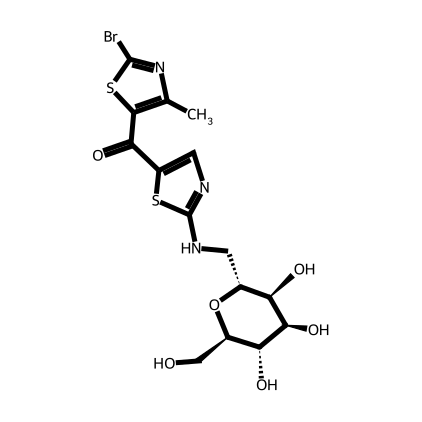 Cc1nc(Br)sc1C(=O)c1cnc(NC[C@H]2O[C@H](CO)[C@@H](O)[C@H](O)[C@@H]2O)s1